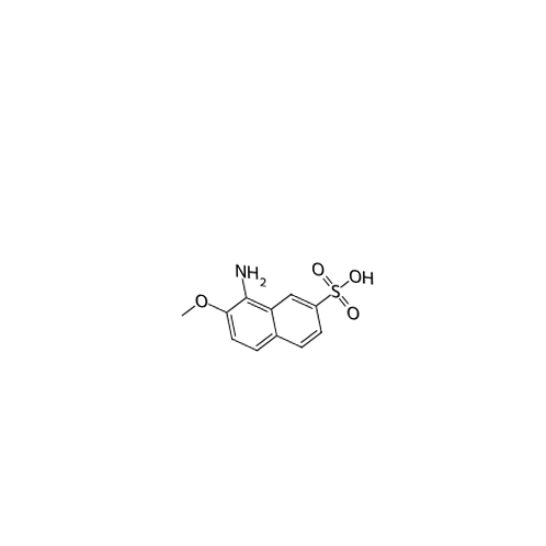 COc1ccc2ccc(S(=O)(=O)O)cc2c1N